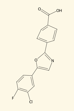 O=C(O)c1ccc(-c2ncc(-c3ccc(F)c(Cl)c3)o2)cc1